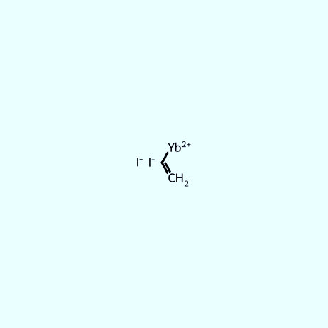 C=[CH][Yb+2].[I-].[I-]